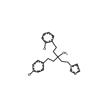 CC(CCc1ccc(Cl)cc1)(CCc1ccccc1Cl)CCn1ccnc1